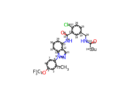 Cc1cc(OC(F)(F)F)ccc1-n1ncc2c(NC(=O)c3cc(CNC(=O)C(C)(C)C)ccc3Cl)cccc21